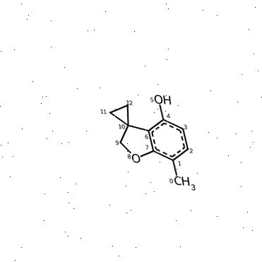 Cc1ccc(O)c2c1OCC21CC1